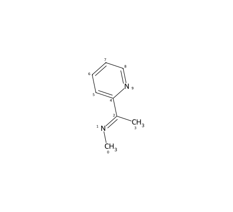 C/N=C(\C)c1ccccn1